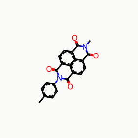 Cc1ccc(N2C(=O)c3ccc4c5c(ccc(c35)C2=O)C(=O)N(C)C4=O)cc1